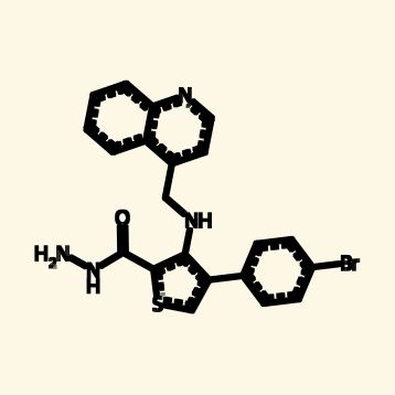 NNC(=O)c1scc(-c2ccc(Br)cc2)c1NCc1ccnc2ccccc12